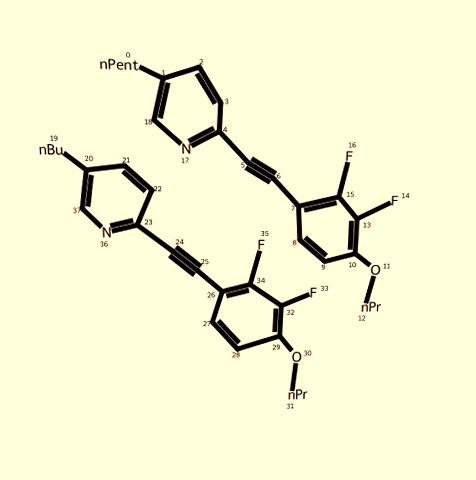 CCCCCc1ccc(C#Cc2ccc(OCCC)c(F)c2F)nc1.CCCCc1ccc(C#Cc2ccc(OCCC)c(F)c2F)nc1